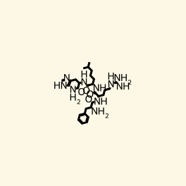 CC(C)CCCC(NC(=O)C(CCCNC(=N)N)NC(=O)C(N)Cc1ccccc1)C(=O)NC(Cc1c[nH]cn1)C(N)=O